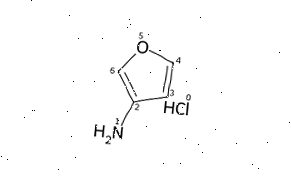 Cl.Nc1ccoc1